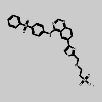 CS(=O)(=O)CCNCc1nc(-c2ccc3ncnc(Nc4ccc(S(=O)(=O)c5ccccc5)cc4)c3c2)cs1